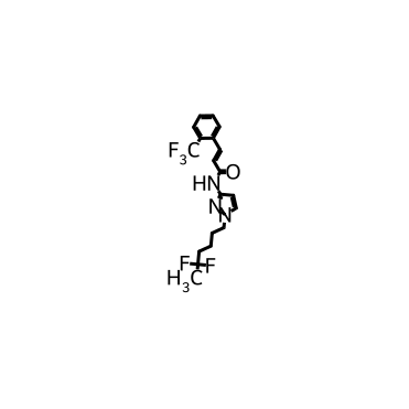 CC(F)(F)CCCCn1ccc(NC(=O)C=Cc2ccccc2C(F)(F)F)n1